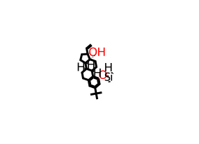 C=C[C@]1(O)CC[C@H]2[C@@H]3CCc4cc(C(C)(C)C)cc(O[SiH](C)C)c4[C@H]3CC[C@@]21C